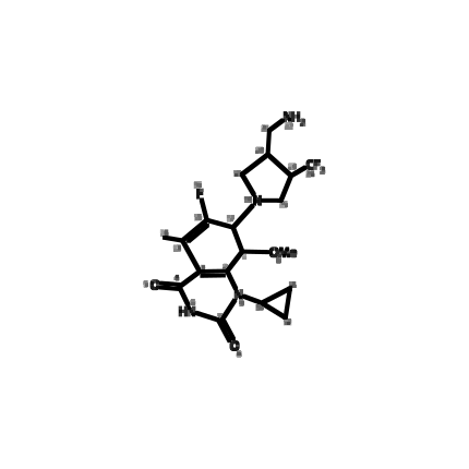 COC1c2c(c(=O)[nH]c(=O)n2C2CC2)C(C)=C(F)C1N1CC(CN)C(C(F)(F)F)C1